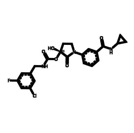 O=C(NCc1cc(F)cc(Cl)c1)O[C@]1(O)CCN(c2cccc(C(=O)NC3CC3)c2)C1=O